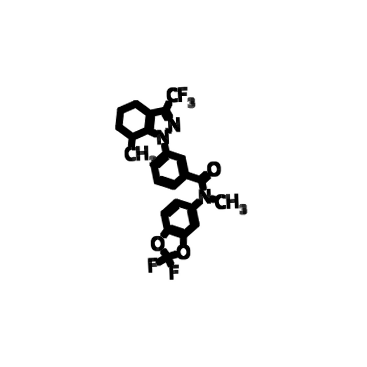 CC1CCCc2c(C(F)(F)F)nn(-c3cccc(C(=O)N(C)c4ccc5c(c4)OC(F)(F)O5)c3)c21